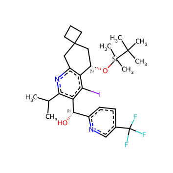 CC(C)c1nc2c(c(I)c1[C@@H](O)c1ccc(C(F)(F)F)cn1)[C@@H](O[Si](C)(C)C(C)(C)C)CC1(CCC1)C2